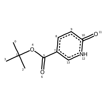 CC(C)(C)OC(=O)c1ccc(=O)[nH]c1